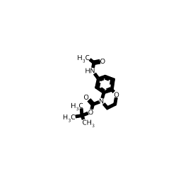 CC(=O)Nc1ccc2c(c1)N(C(=O)OC(C)(C)C)CCO2